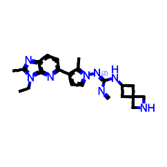 C=N/C(=N\n1ccc(-c2ccc3nc(C)n(CC)c3n2)c1C)NC1CC2(CNC2)C1